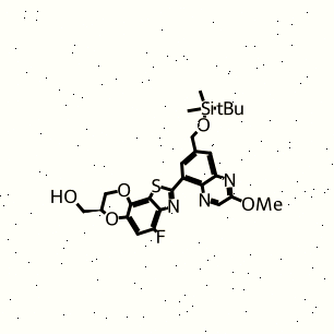 COc1cnc2c(-c3nc4c(F)cc5c(c4s3)OC[C@H](CO)O5)cc(CO[Si](C)(C)C(C)(C)C)cc2n1